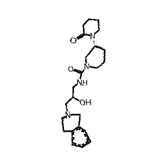 O=C(NCC(O)CN1CCc2ccccc2C1)N1CCC[C@@H](N2CCCCC2=O)C1